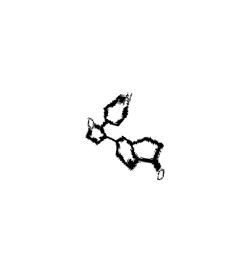 O=C1CCc2cc(-c3ccoc3-c3ccncc3)ccc21